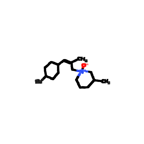 CC(=CC1CCC(C(C)(C)C)CC1)C[N+]1([O-])CCCC(C)C1